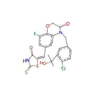 CC(C)(O)c1cc(CN2C(=O)COc3c(F)cc(C=C4SC(=S)NC4=O)cc32)ccc1Cl